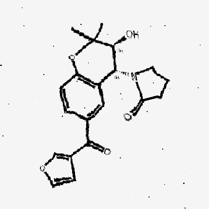 CC1(C)Oc2ccc(C(=O)c3ccoc3)cc2[C@@H](N2CCCC2=O)[C@@H]1O